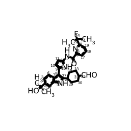 CC(C)(O)c1ccc2c(-c3ccc(NC(=O)c4cccc(C(C)(C)F)n4)[nH]3)c(C3CCC(C=O)CC3)[nH]c2c1